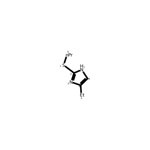 CCCSc1nc(CC)c[nH]1